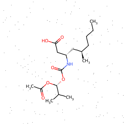 CCCC[C@@H](C)C[C@@H](CC(=O)O)NC(=O)O[C@@H](OC(C)=O)C(C)C